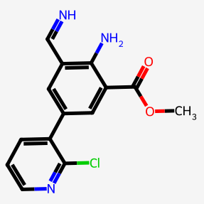 COC(=O)c1cc(-c2cccnc2Cl)cc(C=N)c1N